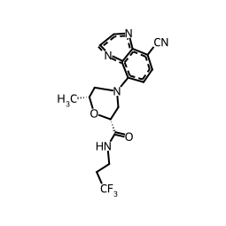 C[C@@H]1CN(c2ccc(C#N)c3nccnc23)C[C@H](C(=O)NCCC(F)(F)F)O1